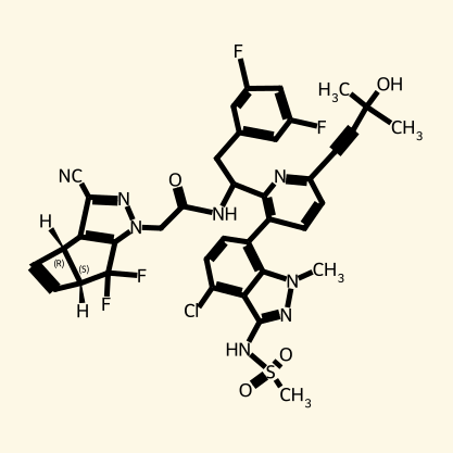 Cn1nc(NS(C)(=O)=O)c2c(Cl)ccc(-c3ccc(C#CC(C)(C)O)nc3C(Cc3cc(F)cc(F)c3)NC(=O)Cn3nc(C#N)c4c3C(F)(F)[C@@H]3C#C[C@H]43)c21